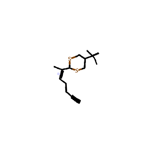 C#CCC/C=C(/C)C1SCC(C(C)(C)C)CS1